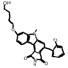 Cn1c2cc(OCCCCO)ccc2c2c3c(c(-c4ccccc4Cl)cc21)C(=O)NC3=O